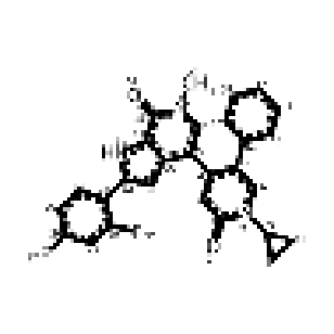 Cn1cc(-c2cc(=O)n(C3CC3)cc2-c2ccccc2)c2cc(-c3ccc(F)cc3F)[nH]c2c1=O